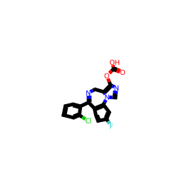 O=C(O)Oc1ncn2c1CN=C(c1ccccc1Cl)c1ccc(F)cc1-2